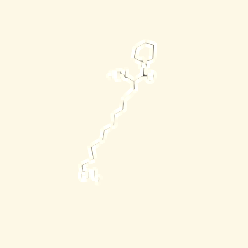 CCCCCCCCCCCC([NH])C(=O)N1CCCCC1